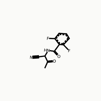 CC(=O)C(C#N)NC(=O)c1c(F)cccc1F